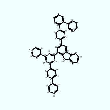 c1cncc(-c2ccccc2-c2ccc(-c3cc(-c4nc(-c5ccncc5)nc(-c5ccc(-c6ccncc6)cc5)n4)c4oc5ccccc5c4c3)cc2)c1